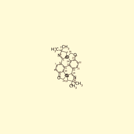 CC1(C)COC(c2ccc3c(c2-c2c(C4=NC(C)(C)CO4)ccc4c2OCO4)OCO3)=N1